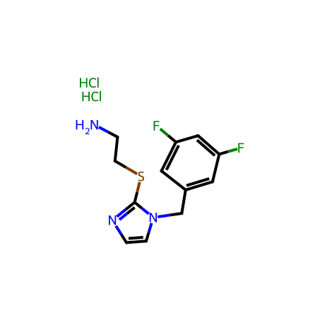 Cl.Cl.NCCSc1nccn1Cc1cc(F)cc(F)c1